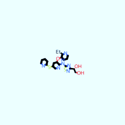 CCc1ncccc1Oc1cc(Sc2ccccn2)cnc1Nc1nc([C@H](O)CO)ns1